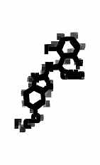 COC(=Nc1nc2ccc(OC(F)(F)F)cc2s1)c1c(F)cccc1F